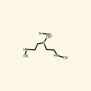 CC(N)=O.N#CNCCN(C#N)CCNC#N